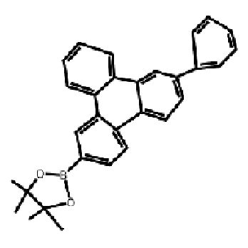 CC1(C)OB(c2ccc3c4ccc(-c5ccccc5)cc4c4ccccc4c3c2)OC1(C)C